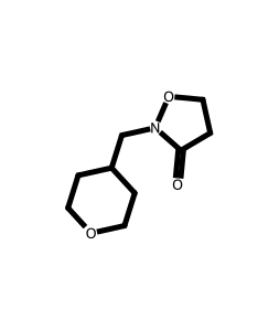 O=C1CCON1CC1CCOCC1